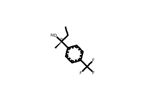 CC[C@@](C)(O)c1ccc(C(F)(F)F)cc1